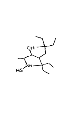 CCC(C)(CC)CC(C(O)C(C)NS)C(C)(CC)CC